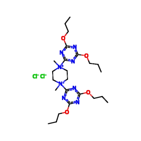 CCCOc1nc(OCCC)nc([N+]2(C)CC[N+](C)(c3nc(OCCC)nc(OCCC)n3)CC2)n1.[Cl-].[Cl-]